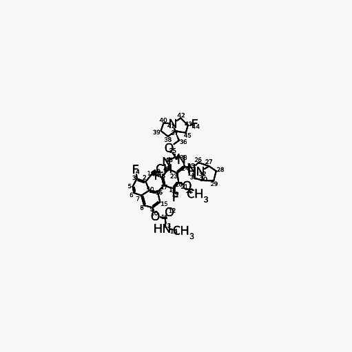 C#Cc1c(F)ccc2cc(OC(=O)NC)cc(-c3c(F)c(OC)c4c(N5CC6CCC(C5)N6)nc(OC[C@@]56CCCN5C[C@H](F)C6)nc4c3F)c12